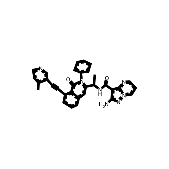 Cc1ccncc1C#Cc1cccc2cc(C(C)NC(=O)c3c(N)nn4cccnc34)n(-c3ccccc3)c(=O)c12